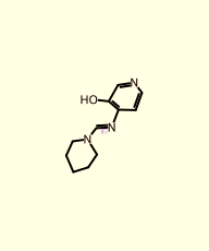 Oc1cnccc1/N=C/N1CCCCC1